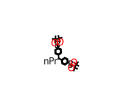 CCCC(c1ccc(B2OC(C)(C)C(C)(C)O2)cc1)c1ccc(B2OC(C)(C)C(C)(C)O2)cc1